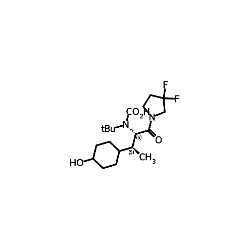 C[C@@H](C1CCC(O)CC1)[C@@H](C(=O)N1CCC(F)(F)C1)N(C(=O)O)C(C)(C)C